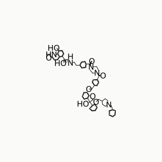 O=C(c1ccc(CCNC[C@H](O)c2ccc(O)c3[nH]c(=O)ccc23)cc1)N1CCN(C(=O)c2ccc(COc3cccc(C(O)(C(=O)OCC4CCN(Cc5ccccc5)CC4)c4ccccc4)c3)cc2)CC1